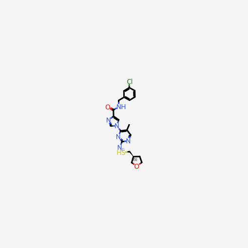 Cc1cnc(/N=[SH]\C[C@H]2CCOC2)nc1-n1cnc(C(=O)NCc2cccc(Cl)c2)c1